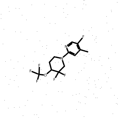 Cc1cc(N2CCC(OC(F)(F)F)C(F)(F)C2)ncc1F